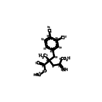 CCCCOC(=O)C(C)(CC(=N)C(=O)O)Cc1ccc(Cl)c(Cl)c1